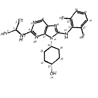 CCCC(CC)Nc1ncc2nc(Nc3c(F)cccc3F)n([C@H]3CC[C@@H](O)CC3)c2n1